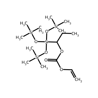 C=COC(=O)OC(CC)[Si](O[Si](C)(C)C)(O[Si](C)(C)C)O[Si](C)(C)C